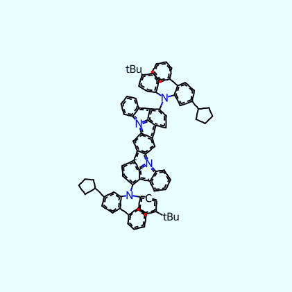 CC(C)(C)c1ccc(N(c2cc(C3CCCC3)ccc2-c2ccccc2)c2ccc3c4cc5c(cc4n4c6ccccc6c2c34)c2ccc(N(c3ccc(C(C)(C)C)cc3)c3cc(C4CCCC4)ccc3-c3ccccc3)c3c4ccccc4n5c23)cc1